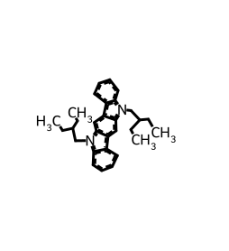 CCC(CC)Cn1c2ccccc2c2cc3c(cc21)c1ccccc1n3CC(CC)CC